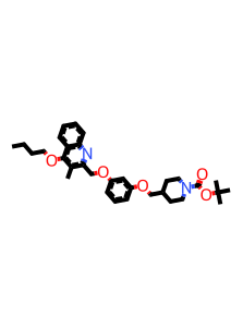 CCCCOc1c(C)c(COc2cccc(OCC3CCN(C(=O)OC(C)(C)C)CC3)c2)nc2ccccc12